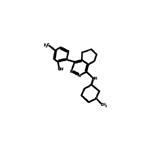 CN1CCCC(Nc2nnc(-c3ccc(C(F)(F)F)cc3O)c3c2CCCC3)C1